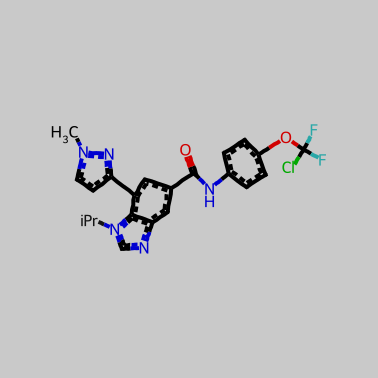 CC(C)n1cnc2cc(C(=O)Nc3ccc(OC(F)(F)Cl)cc3)cc(-c3ccn(C)n3)c21